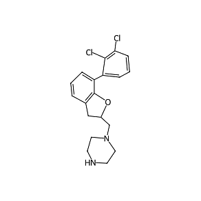 Clc1cccc(-c2cccc3c2OC(CN2CCNCC2)C3)c1Cl